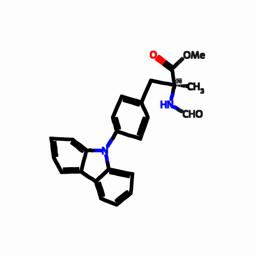 COC(=O)[C@](C)(Cc1ccc(-n2c3ccccc3c3ccccc32)cc1)NC=O